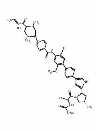 COC(=O)N[C@H](C(=O)N1C[C@@H](C)C[C@H]1c1nc(-c2ccc(-c3cc(F)c(NC(=O)c4ccc(N5C[C@H](C)N(C(=O)/C(N)=C/N)C[C@H]5C)nc4)cc3OC(F)(F)F)cc2)c[nH]1)C(C)C